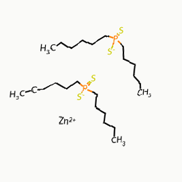 CCCCCCP(=S)([S-])CCCCCC.CCCCCCP(=S)([S-])CCCCCC.[Zn+2]